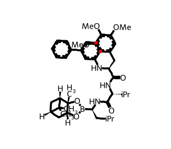 COc1cc(C[C@H](Nc2cccc(-c3ccccc3)c2)C(=O)N[C@@H](C(=O)N[C@@H](CC(C)C)B2O[C@@H]3C[C@@H]4C[C@@H](C4(C)C)[C@]3(C)O2)C(C)C)cc(OC)c1OC